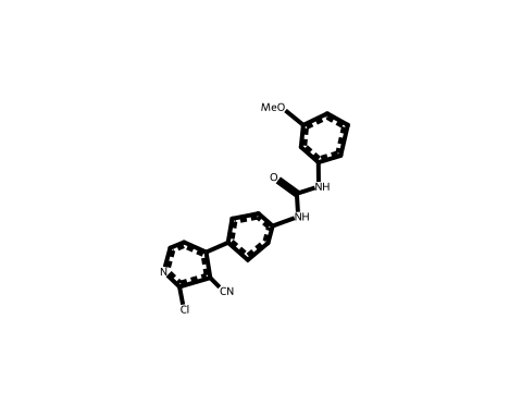 COc1cccc(NC(=O)Nc2ccc(-c3ccnc(Cl)c3C#N)cc2)c1